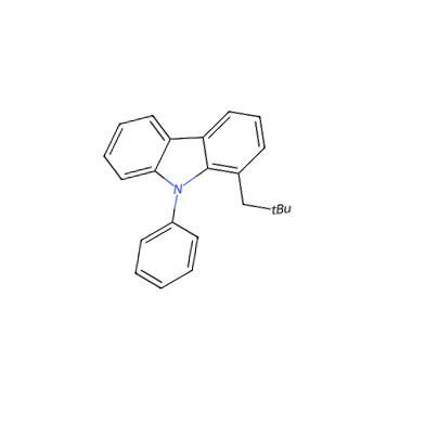 CC(C)(C)Cc1cccc2c3ccccc3n(-c3ccccc3)c12